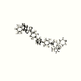 COC1(C2CCCCC2)CCN(c2ccc(-c3nnc(-c4ccc(C(=O)On5nnc6ccccc65)cc4)s3)cc2)CC1